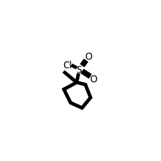 CC1(S(=O)(=O)Cl)CCCCC1